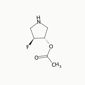 CC(=O)O[C@H]1CNC[C@@H]1F